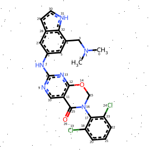 CN(C)Cc1cc(Nc2ncc3c(n2)OCN(c2c(Cl)cccc2Cl)C3=O)cc2cc[nH]c12